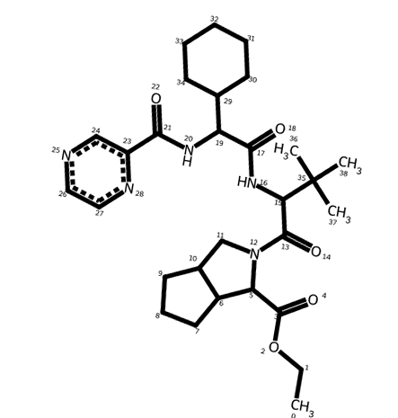 CCOC(=O)C1C2CCCC2CN1C(=O)C(NC(=O)C(NC(=O)c1cnccn1)C1CCCCC1)C(C)(C)C